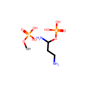 CCCOP(=O)(O)O.NCCC(N)OP(=O)(O)O